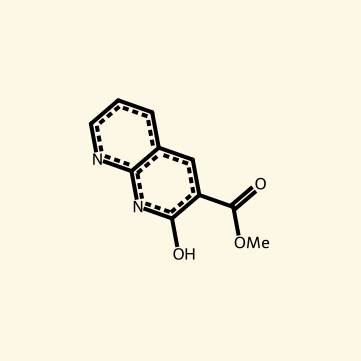 COC(=O)c1cc2cccnc2nc1O